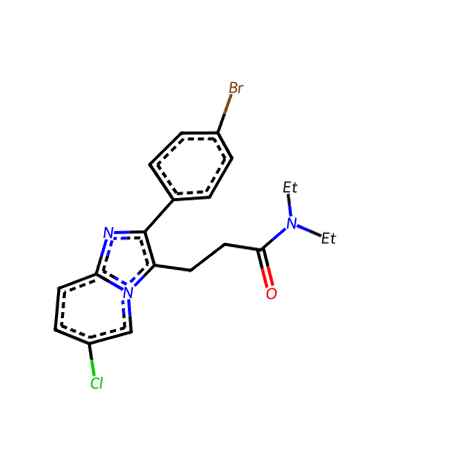 CCN(CC)C(=O)CCc1c(-c2ccc(Br)cc2)nc2ccc(Cl)cn12